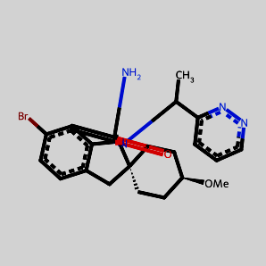 CO[C@H]1CC[C@]2(CC1)Cc1ccc(Br)cc1C21N=C(N)N(C(C)c2cccnn2)C1=O